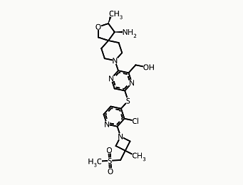 C[C@@H]1OCC2(CCN(c3ncc(Sc4ccnc(N5CC(C)(CS(C)(=O)=O)C5)c4Cl)nc3CO)CC2)[C@@H]1N